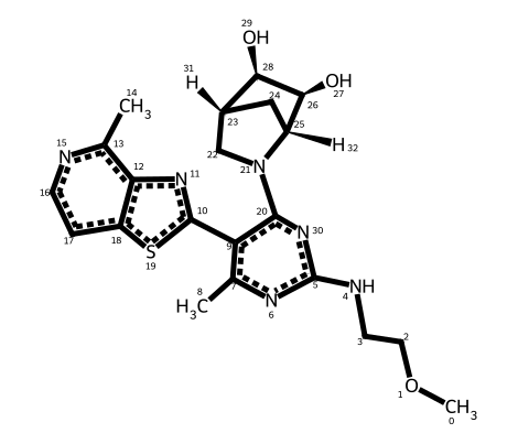 COCCNc1nc(C)c(-c2nc3c(C)nccc3s2)c(N2C[C@H]3C[C@@H]2[C@H](O)[C@@H]3O)n1